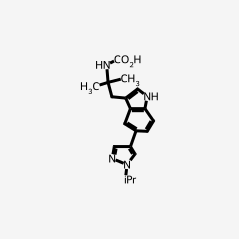 CC(C)n1cc(-c2ccc3[nH]cc(CC(C)(C)NC(=O)O)c3c2)cn1